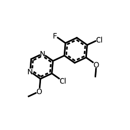 COc1cc(-c2ncnc(OC)c2Cl)c(F)cc1Cl